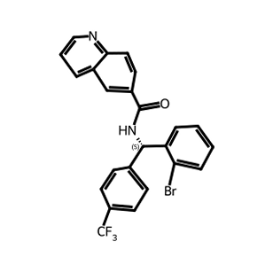 O=C(N[C@@H](c1ccc(C(F)(F)F)cc1)c1ccccc1Br)c1ccc2ncccc2c1